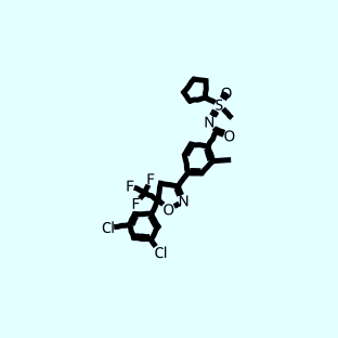 Cc1cc(C2=NOC(c3cc(Cl)cc(Cl)c3)(C(F)(F)F)C2)ccc1C(=O)N=S(C)(=O)C1CCCC1